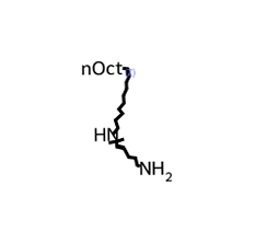 CCCCCCCC/C=C\CCCCCCCCNC(C)(C)C=CCCCN